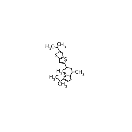 CC(C)c1ccc(C(C)CC(C)c2cc3sc(C(C)C)cc3s2)s1